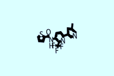 Cc1cncc(-c2ccc(NC(=O)c3cccs3)c(C(F)(F)F)n2)c1